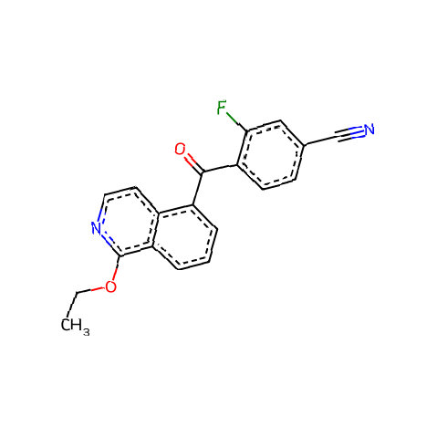 CCOc1nccc2c(C(=O)c3ccc(C#N)cc3F)cccc12